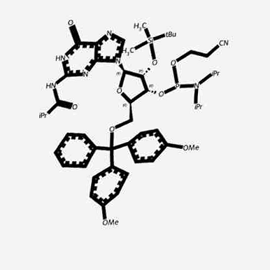 COc1ccc(C(OC[C@H]2O[C@@H](n3cnc4c(=O)[nH]c(NC(=O)C(C)C)nc43)[C@H](O[Si](C)(C)C(C)(C)C)[C@@H]2OP(OCCC#N)N(C(C)C)C(C)C)(c2ccccc2)c2ccc(OC)cc2)cc1